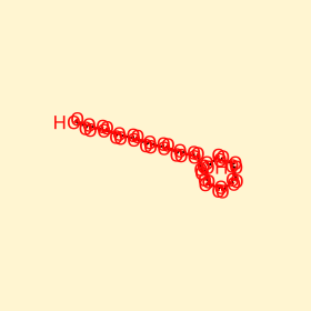 O=C(O)CCCCC(=O)OC(=O)CCCCC(=O)OC(=O)CCCCC(=O)OC(=O)CCCCC(=O)OC(=O)CCCCC(=O)OC(=O)CCCCC(=O)OC(=O)CCCCC(=O)OC(=O)CCCCC(=O)OC(=O)CCCCC(=O)OC(=O)CCCCC(=O)OC(=O)CCCCC(=O)OC(=O)CCCCC(=O)OC(=O)CCCCC(=O)OC(=O)CCCCC(=O)OC(=O)CCCCC(=O)O